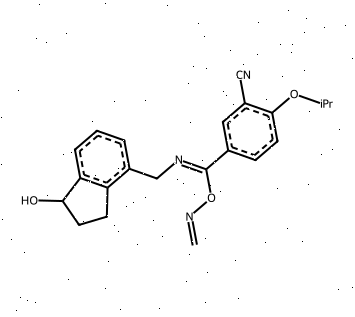 C=NO/C(=N\Cc1cccc2c1CCC2O)c1ccc(OC(C)C)c(C#N)c1